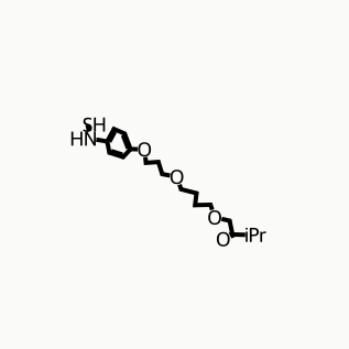 CC(C)C(=O)COCCCCOCCCOc1ccc(NS)cc1